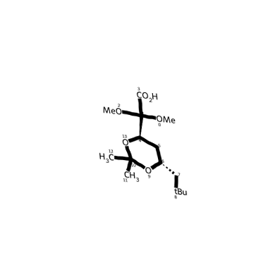 COC(OC)(C(=O)O)[C@H]1C[C@H](CC(C)(C)C)OC(C)(C)O1